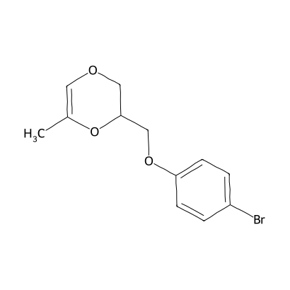 CC1=COCC(COc2ccc(Br)cc2)O1